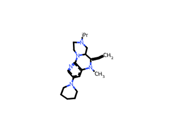 C=C=C1C2CN(C(C)C)CCN2c2ncc(N3CCCCC3)cc2N1C